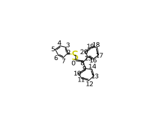 C(Sc1ccccc1)=C(c1ccccc1)c1ccccc1